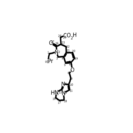 CC(C)CN1Cc2cc(OCCc3cn4c(n3)NCCC4)ccc2CC(CC(=O)O)C1=O